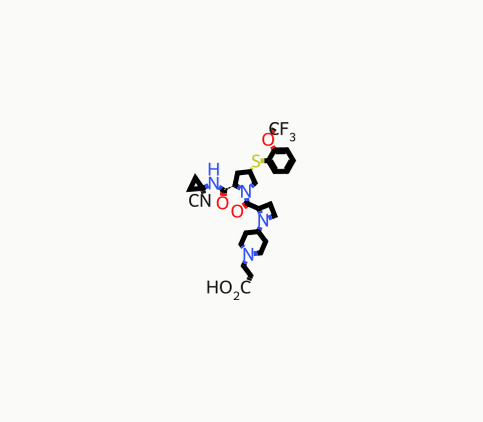 N#CC1(NC(=O)[C@@H]2C[C@@H](Sc3ccccc3OC(F)(F)F)CN2C(=O)C2CCN2C2CCN(CCC(=O)O)CC2)CC1